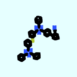 N#Cc1ccccc1-c1ccc(-c2nc(-c3ccccc3)nc(-c3cccc(Sc4cccc(-c5nc(-c6ccccc6)nc(-c6ccccc6)n5)c4)c3)n2)cc1